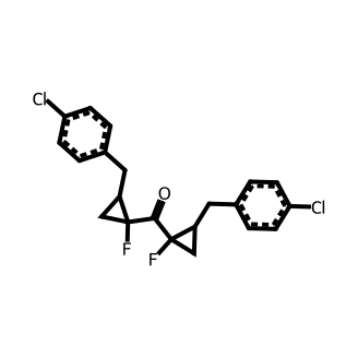 O=C(C1(F)CC1Cc1ccc(Cl)cc1)C1(F)CC1Cc1ccc(Cl)cc1